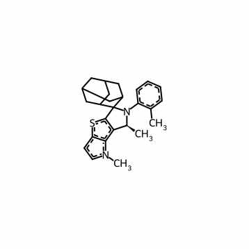 Cc1ccccc1N1[C@@H](C)c2c(sc3ccn(C)c23)C12C1CC3CC(C1)CC2C3